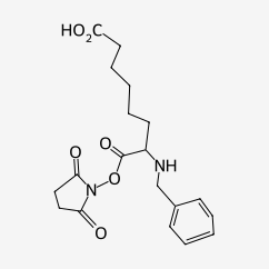 O=C(O)CCCCCC(NCc1ccccc1)C(=O)ON1C(=O)CCC1=O